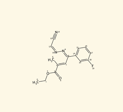 CCOC(=O)/C(C)=C/C(=N\N=C/C#N)c1cccc(F)c1